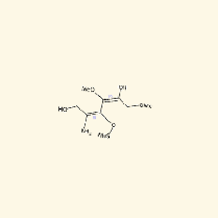 COC/C(O)=C(OC)\C(OSC)=C(\N)CO